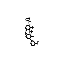 Cc1c(-c2cccc(F)c2)ccc(F)c1N(C)c1c(F)ccc(OC2=NC=C2)c1F